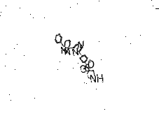 O=S(=O)(c1ccc(-c2cncc(-c3nnc(-c4ccccc4)o3)n2)cc1)C1CCNCC1